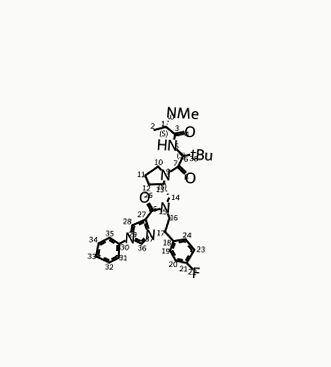 CN[C@@H](C)C(=O)N[C@H](C(=O)N1CCC[C@H]1CN(CCc1ccc(F)cc1)C(=O)c1cn(-c2ccccc2)cn1)C(C)(C)C